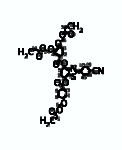 C=CC(=O)OCOc1ccc(C(=O)Oc2ccc(OC(=O)c3ccc(OCOC(=O)C=C)c(OCOC(=O)C=C)c3)c3nc(-c4ccc(C#N)cc4)sc23)cc1